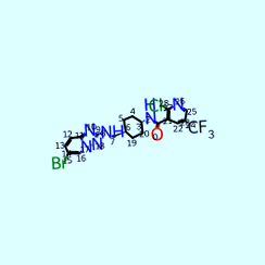 O=C(N[C@H]1CC[C@H](CNc2nc3ccc(Br)cn3n2)CC1)c1cc(C(F)(F)F)cnc1Cl